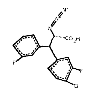 [N-]=[N+]=N[C@H](C(=O)O)[C@H](c1cccc(F)c1)c1ccc(Cl)c(F)c1